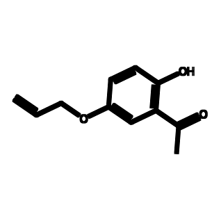 C=CCOc1ccc(O)c(C(C)=O)c1